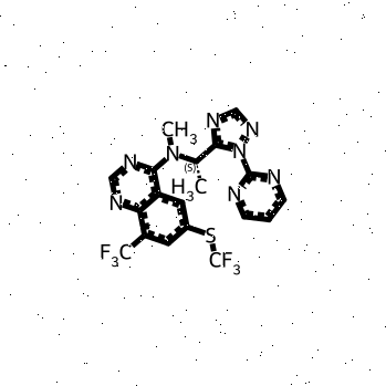 C[C@@H](c1ncnn1-c1ncccn1)N(C)c1ncnc2c(C(F)(F)F)cc(SC(F)(F)F)cc12